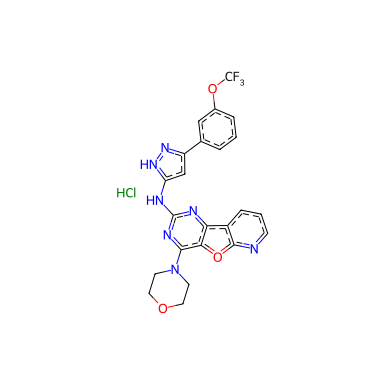 Cl.FC(F)(F)Oc1cccc(-c2cc(Nc3nc(N4CCOCC4)c4oc5ncccc5c4n3)[nH]n2)c1